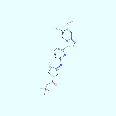 COc1cc2ncc(-c3cccc(N[C@H]4CN(C(=O)OC(C)(C)C)C[C@@H]4F)n3)n2cc1Cl